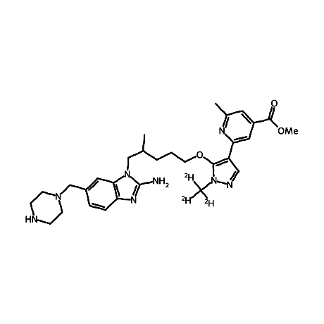 [2H]C([2H])([2H])n1ncc(-c2cc(C(=O)OC)cc(C)n2)c1OCCCC(C)Cn1c(N)nc2ccc(CN3CCNCC3)cc21